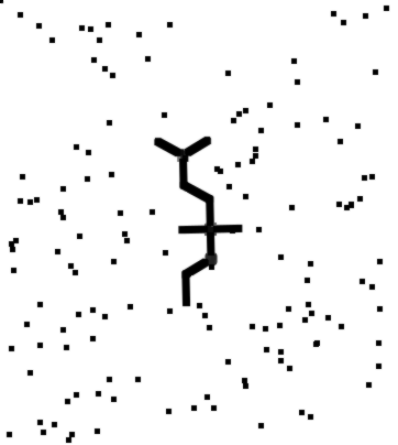 CCO[Si](C)(C)CCN(C)C